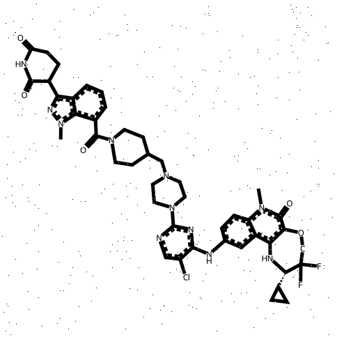 Cn1nc(C2CCC(=O)NC2=O)c2cccc(C(=O)N3CCC(CN4CCN(c5ncc(Cl)c(Nc6ccc7c(c6)c6c(c(=O)n7C)OCC(F)(F)[C@H](C7CC7)N6)n5)CC4)CC3)c21